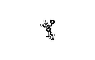 CC(=O)NC(Cc1ccc(N2CC(=O)NS2(=O)=O)c(OCc2ccccc2)c1)C(=O)OC(C)(C)C